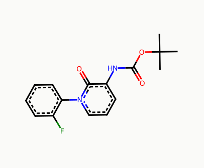 CC(C)(C)OC(=O)Nc1cccn(-c2ccccc2F)c1=O